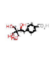 O=C(O)c1ccc(C=C(O)C(CO)(CO)CO)cc1